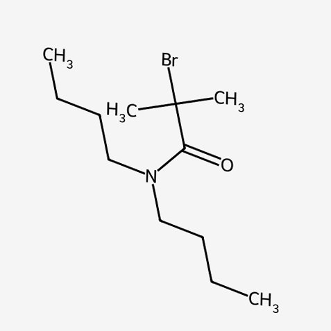 CCCCN(CCCC)C(=O)C(C)(C)Br